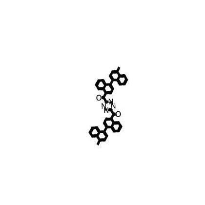 Cc1ccc(-c2ccc(C(=O)c3nnc(C(=O)c4ccc(-c5ccc(C)c6ccccc56)c5ccccc45)nn3)c3ccccc23)c2ccccc12